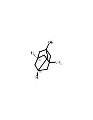 CC12C[C@H]3C[C@@H](C1)CC(O)(C3)C2